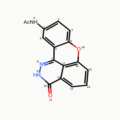 CC(=O)Nc1ccc2c(c1)-c1n[nH]c(=O)c3cccc(c13)O2